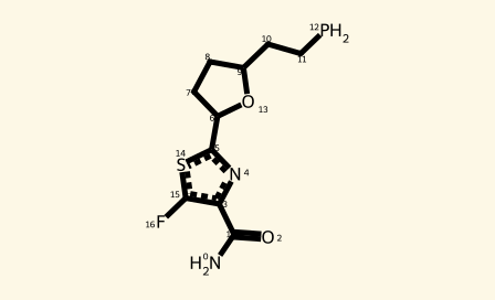 NC(=O)c1nc(C2CCC(CCP)O2)sc1F